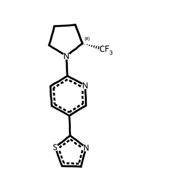 FC(F)(F)[C@H]1CCCN1c1ccc(-c2nccs2)cn1